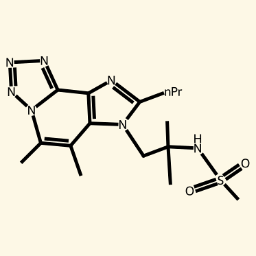 CCCc1nc2c(c(C)c(C)n3nnnc23)n1CC(C)(C)NS(C)(=O)=O